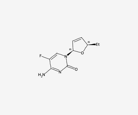 CC[C@@H]1C=C[C@H](n2cc(F)c(N)nc2=O)O1